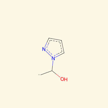 [CH2]C(O)n1cccn1